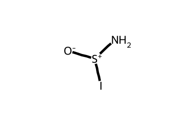 N[S+]([O-])I